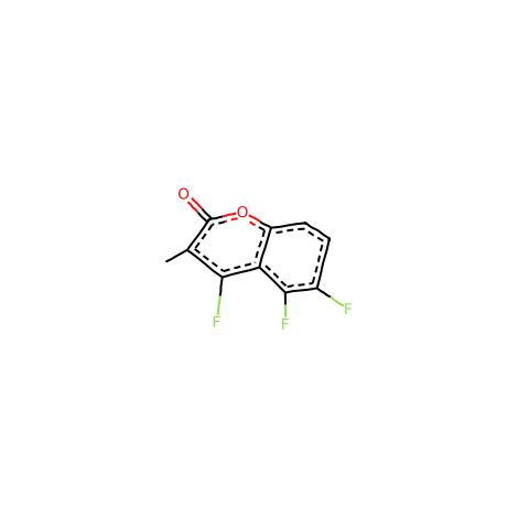 Cc1c(F)c2c(F)c(F)ccc2oc1=O